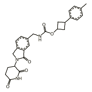 Cc1ccc(C2CC(OC(=O)NCc3ccc4c(c3)C(=O)N(C3CCC(=O)NC3=O)C4)C2)cc1